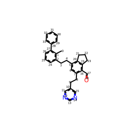 Cc1c(CCc2cc(CCc3cncnc3)c(C=O)c3c2CCC3)cccc1-c1ccccc1